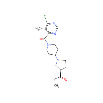 CCC(=O)[C@@H]1CCN(C2CCN(C(=O)c3ncnc(Cl)c3C)CC2)C1